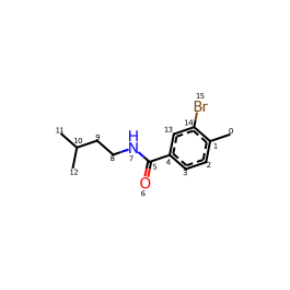 Cc1ccc(C(=O)NCCC(C)C)cc1Br